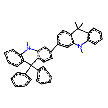 CN1c2ccccc2C(C)(C)c2ccc(-c3ccc4c(c3)N(C)c3ccccc3C4(c3ccccc3)c3ccccc3)cc21